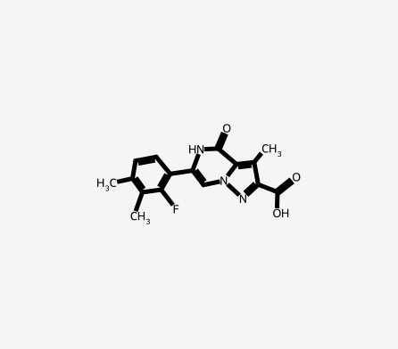 Cc1ccc(-c2cn3nc(C(=O)O)c(C)c3c(=O)[nH]2)c(F)c1C